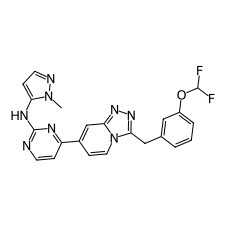 Cn1nccc1Nc1nccc(-c2ccn3c(Cc4cccc(OC(F)F)c4)nnc3c2)n1